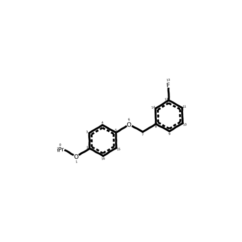 CC(C)Oc1ccc(OCc2cccc(F)c2)cc1